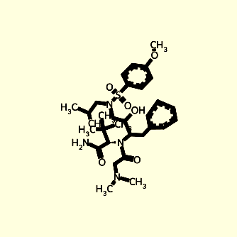 COc1ccc(S(=O)(=O)N(CC(C)C)CC(O)C(Cc2ccccc2)N(C(=O)CN(C)C)[C@H](C(N)=O)C(C)(C)C)cc1